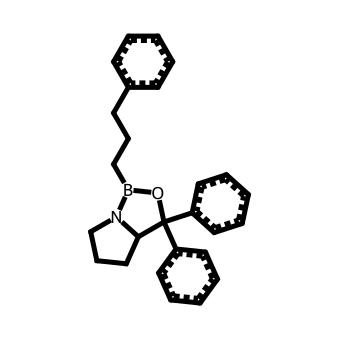 c1ccc(CCCB2OC(c3ccccc3)(c3ccccc3)C3CCCN23)cc1